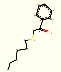 CCCCCCSCC(=O)c1ccccc1